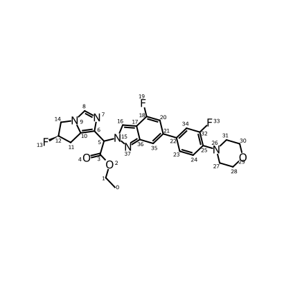 CCOC(=O)C(c1ncn2c1C[C@@H](F)C2)n1cc2c(F)cc(-c3ccc(N4CCOCC4)c(F)c3)cc2n1